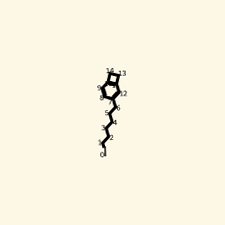 ICCCCCCc1ccc2c(c1)CC2